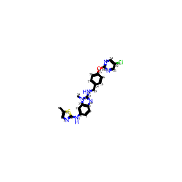 Cc1cnc(Nc2ccc3nc(NCc4ccc(Oc5ncc(Cl)cn5)cc4)n(C)c3c2)s1